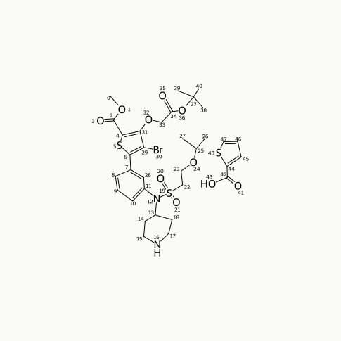 COC(=O)c1sc(-c2cccc(N(C3CCNCC3)S(=O)(=O)CCOC(C)C)c2)c(Br)c1OCC(=O)OC(C)(C)C.O=C(O)c1cccs1